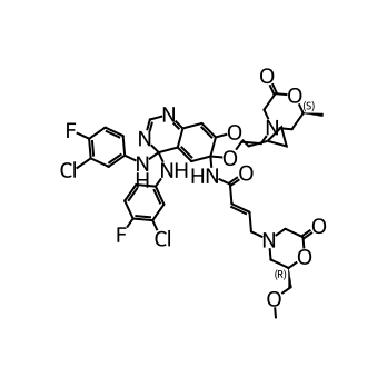 COC[C@H]1CN(CC=CC(=O)NC2(OCCN3CC(=O)O[C@@H](C)C3)C=C3C(=NC=NC3(Nc3ccc(F)c(Cl)c3)Nc3ccc(F)c(Cl)c3)C=C2OCC2CC2)CC(=O)O1